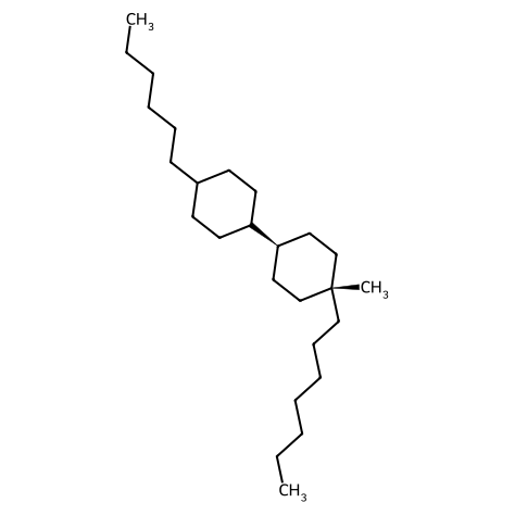 CCCCCCC[C@]1(C)CC[C@@H](C2CCC(CCCCCC)CC2)CC1